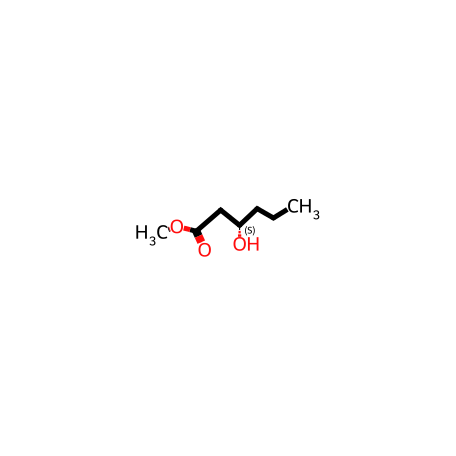 CCC[C@H](O)CC(=O)OC